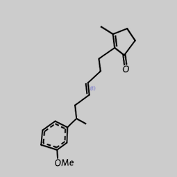 COc1cccc(C(C)C/C=C/CCC2=C(C)CCC2=O)c1